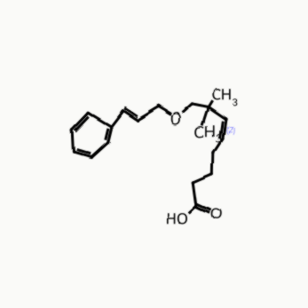 CC(C)(/C=C\CCCC(=O)O)COCC=Cc1ccccc1